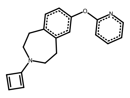 C1=CC(N2CCc3ccc(Oc4ccccn4)cc3CC2)=C1